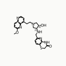 COc1ccc2nccc(CCN3C[C@@H](O)[C@@H](NCc4ccc5c(n4)NC(=O)CS5)C3)c2n1